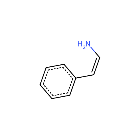 N/C=C\c1ccccc1